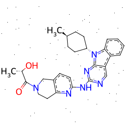 C[C@H](O)C(=O)N1CCc2nc(Nc3ncc4c5ccccc5n([C@H]5CC[C@H](C)CC5)c4n3)ccc2C1